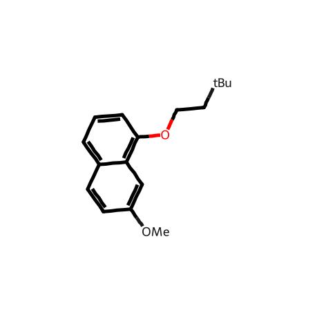 COc1ccc2cccc(OCCC(C)(C)C)c2c1